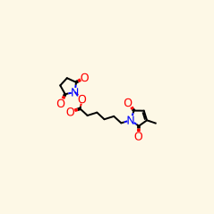 CC1=CC(=O)N(CCCCCC(=O)ON2C(=O)CCC2=O)C1=O